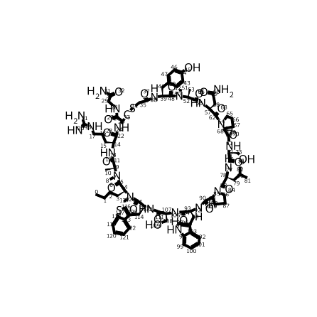 CCCC[C@H]1C(=O)N(C)[C@@H](C)C(=O)N[C@@H](CCCNC(=N)N)C(=O)NC(C(=O)NCC(N)=O)CSCC(=O)N[C@@H](Cc2ccc(O)cc2)C(=O)N(C)[C@@H](C)C(=O)N[C@@H](CC(N)=O)C(=O)N2CCC[C@H]2C(=O)N[C@@H](CO)C(=O)N[C@@H](CC(C)C)C(=O)N2CCC[C@H]2C(=O)N[C@@H](Cc2c[nH]c3ccccc23)C(=O)N[C@@H](CO)C(=O)N[C@@H](Cc2csc3ccccc23)C(=O)N1C